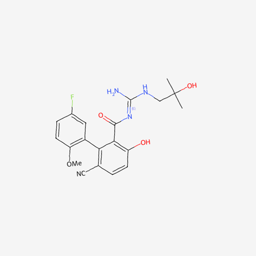 COc1ccc(F)cc1-c1c(C#N)ccc(O)c1C(=O)/N=C(\N)NCC(C)(C)O